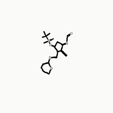 C=C1C(OC=O)CC(O[Si](C)(C)C(C)(C)C)C1COC1CCCCO1